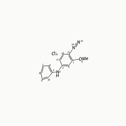 COc1cc(Nc2ccccc2)ccc1[N+]#N.[Cl-]